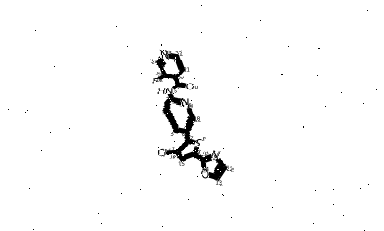 O=C(Nc1ccc(-c2sc(-c3ncco3)cc2Cl)cn1)c1ccncc1F